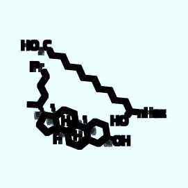 CC(C)CCCC(C)[C@H]1CC[C@H]2[C@@H]3CC=C4C[C@@H](O)CC[C@]4(C)[C@H]3CC[C@]12C.CCCCCCC(O)CCCCCCCCCCC(=O)O